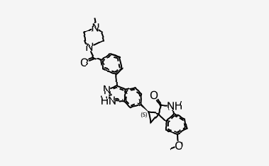 COc1ccc2c(c1)C1(C[C@H]1c1ccc3c(-c4cccc(C(=O)N5CCN(C)CC5)c4)n[nH]c3c1)C(=O)N2